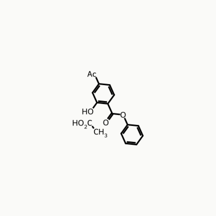 CC(=O)O.CC(=O)c1ccc(C(=O)Oc2ccccc2)c(O)c1